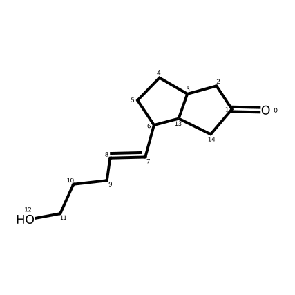 O=C1CC2CCC(C=CCCCO)C2C1